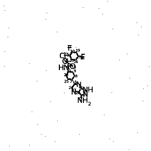 Nc1n[nH]c2nc(-c3ccc(NS(=O)(=O)c4cc(F)cc(F)c4Cl)cc3)cnc12